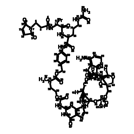 CC(C)[C@H](NC(=O)CCN1C(=O)C=CC1=O)C(=O)N[C@@H](CCCNC(N)=O)C(=O)Nc1ccc(COC(=O)N(C)CCOC(=O)Nc2nc3c(ncn3[C@@H]3O[C@@H]4CO[P@@](=O)(S)O[C@H]5[C@H]6OC[C@]5(CO[P@@](=O)(S)O[C@@H]3[C@@H]4F)O[C@H]6n3cnc4c(N)ncnc43)c(=O)[nH]2)cc1